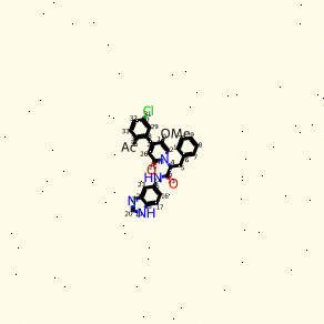 COc1cn(C(Cc2ccccc2)C(=O)Nc2ccc3[nH]cnc3c2)c(=O)cc1-c1cc(Cl)ccc1C(C)=O